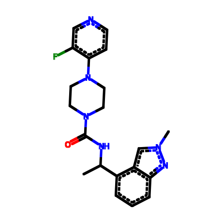 CC(NC(=O)N1CCN(c2ccncc2F)CC1)c1cccc2nn(C)cc12